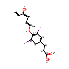 C=C/C(O)=C\C=C(/C)OC1=C(I)C=C(CCC(=O)O)CC1I